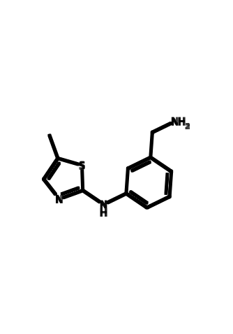 Cc1cnc(Nc2cccc(CN)c2)s1